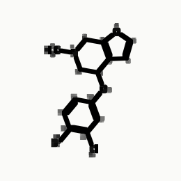 CN1Cc2occc2C(Oc2ccc(Br)c(Cl)c2)C1